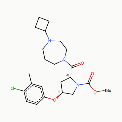 Cc1cc(O[C@H]2C[C@H](C(=O)N3CCCN(C4CCC4)CC3)N(C(=O)OC(C)(C)C)C2)ccc1Cl